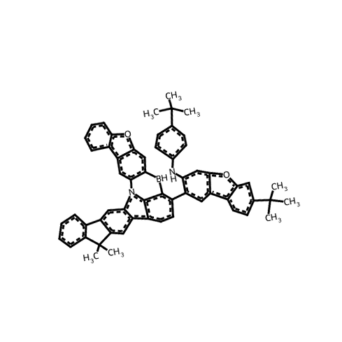 CC(C)(C)c1ccc(Nc2cc3oc4cc(C(C)(C)C)ccc4c3cc2-c2ccc3c4cc5c(cc4n4c3c2Bc2cc3oc6ccccc6c3cc2-4)-c2ccccc2C5(C)C)cc1